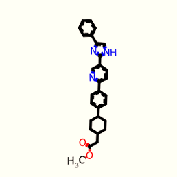 COC(=O)CC1CCC(c2ccc(-c3ccc(-c4nc(-c5ccccc5)c[nH]4)cn3)cc2)CC1